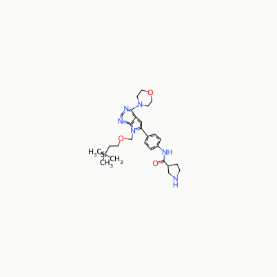 C[Si](C)(C)CCOCn1c(-c2ccc(NC(=O)C3CCNC3)cc2)cc2c(N3CCOCC3)ncnc21